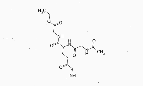 CCOC(=O)CNC(=O)C(CCC(=O)C=N)NC(=O)CNC(C)=O